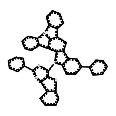 c1ccc(-c2ccc3c(c2)c2cc4c5ccccc5n5c6ccccc6c(c2n3-c2nc(-c3ccccc3)nc3c2sc2ccccc23)c45)cc1